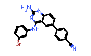 N#Cc1ccc(-c2ccc3nc(N)nc(Nc4cccc(Br)c4)c3c2)cc1